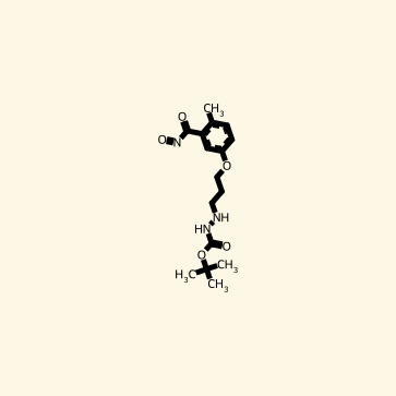 Cc1ccc(OCCCNNC(=O)OC(C)(C)C)cc1C(=O)N=O